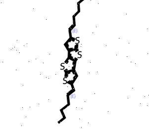 CCCC/C=C/c1cc2c(s1)sc1c3cc(/C=C/CCCC)sc3sc21